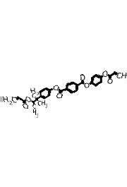 C=CC(=O)Oc1ccc(OC(=O)c2ccc(C(=O)Oc3ccc(C(C)(C)C(C)OC(=O)C=C)cc3)cc2)cc1